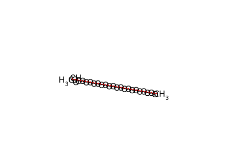 COCCOCCOCCOCCOCCOCCOCCOCCOCCOCCOCCOCCOCCOCCOCCOCCOCCOCCOCCOCCOCC(=O)OCC(C)C